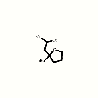 CCCCC([CH]C1(CCCC)CCCO1)CC